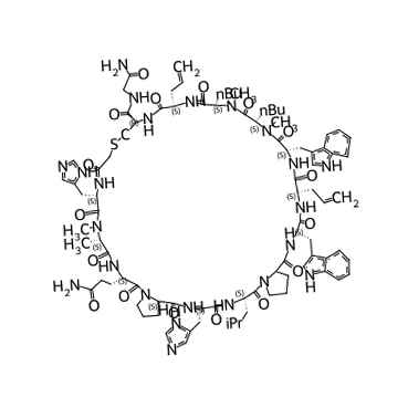 C=CC[C@@H]1NC(=O)[C@H](Cc2c[nH]c3ccccc23)NC(=O)C2CCCN2C(=O)[C@H](CC(C)C)NC(=O)[C@H](Cc2cnc[nH]2)NC(=O)[C@@H]2CCCN2C(=O)[C@H](CCC(N)=O)NC(=O)[C@H](C)N(C)C(=O)[C@H](Cc2cnc[nH]2)NC(=O)CSC[C@@H](C(=O)NCC(N)=O)NC(=O)[C@H](CC=C)NC(=O)[C@H](CCCC)N(C)C(=O)[C@H](CCCC)N(C)C(=O)[C@H](Cc2c[nH]c3ccccc23)NC1=O